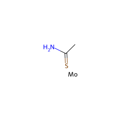 CC(N)=S.[Mo]